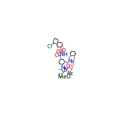 COCCCOC[C@@H]1Cc2ccccc2CN1C(=O)c1cc(C(=O)NS(=O)(=O)c2ccc3cccc(Cl)c3c2)ccc1-n1nc(C(C)=O)c(Cl)c1C